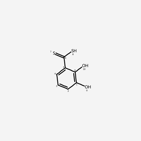 Oc1cccc(C(=S)S)c1O